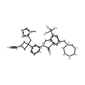 Cn1cnnc1CC1(c2cccc(N3Cc4c(cc(CN5CCCOCC5)cc4C(F)(F)F)C3=O)c2)CC(C#N)C1